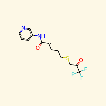 O=C([CH]CCCSCC(=O)C(F)(F)F)Nc1cccnc1